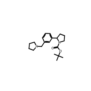 CC(C)(C)OC(=O)N1CCCC1c1cccc(CN2CCCC2)c1